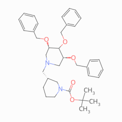 CC(C)(C)OC(=O)N1CCC[C@H](CN2C[C@H](OCc3ccccc3)C(OCc3ccccc3)[C@H](OCc3ccccc3)C2)C1